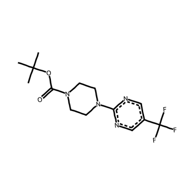 CC(C)(C)OC(=O)N1CCN(c2ncc(C(F)(F)F)cn2)CC1